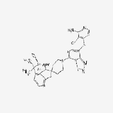 CC1(C)c2ccnc3c2[C@@H](N[S@+]1[O-])C1(CCN(c2ncc(Sc4ccnc(N)c4Cl)c4nncn24)CC1)C3